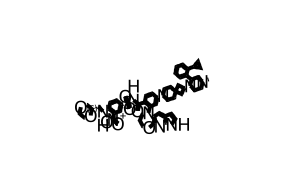 CN1CCN(C2CC3(CCN(c4ccc(C(=O)NS(=O)(=O)c5ccc(NC[C@H]6COCCO6)c([N+](=O)[O-])c5)c(N5CCCOc6nc7[nH]ccc7cc65)c4)CC3)C2)C(c2ccccc2C2CC2)C1